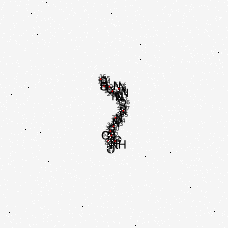 Nc1ncnc2c1c(-c1ccc(Oc3ccccc3)cc1)nn2C1CCC(CN2CC(N3CCN(c4ccc5c(c4)CN(C4CCC(=O)NC4=O)C5=O)CC3)C2)CC1